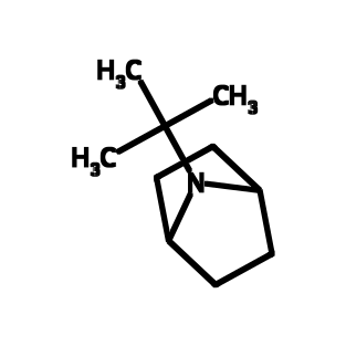 CC(C)(C)N1C2CCC1CC2